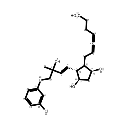 CC(O)(C=C[C@@H]1[C@@H](CC=C=CCCC(=O)O)[C@@H](O)C[C@H]1O)COc1cccc(Cl)c1